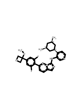 COC1(c2cc(F)c(-c3ccc4cnc(Nc5cnccc5[C@@H]5C[C@H](C)C[C@H](N)C5)n4n3)c(F)c2)COC1